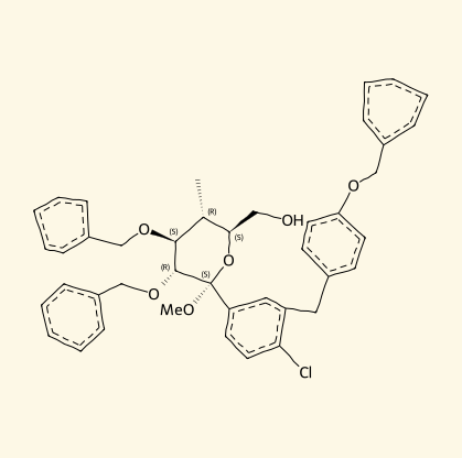 CO[C@@]1(c2ccc(Cl)c(Cc3ccc(OCc4ccccc4)cc3)c2)O[C@H](CO)[C@@H](C)[C@H](OCc2ccccc2)[C@H]1OCc1ccccc1